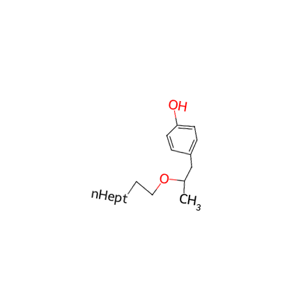 CCCCCCCCCOC(C)Cc1ccc(O)cc1